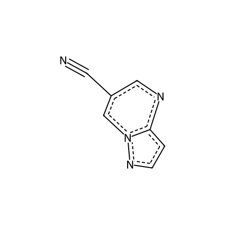 N#Cc1cnc2ccnn2c1